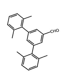 Cc1cccc(C)c1-c1cc(C=O)cc(-c2c(C)cccc2C)c1